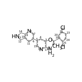 CC(Oc1cc(-c2cnc3c(c2)CNC3)cnc1N)c1cc(Cl)ccc1Cl